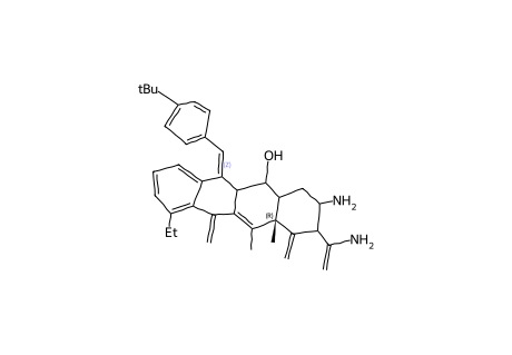 C=C1C2=C(C)[C@@]3(C)C(=C)C(C(=C)N)C(N)CC3C(O)C2/C(=C/c2ccc(C(C)(C)C)cc2)c2cccc(CC)c21